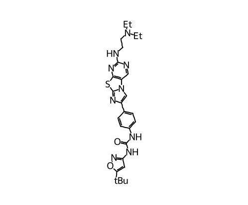 CCN(CC)CCNc1ncc2c(n1)sc1nc(-c3ccc(NC(=O)Nc4cc(C(C)(C)C)on4)cc3)cn12